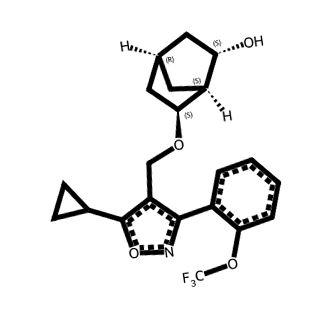 O[C@H]1C[C@H]2C[C@@H]1[C@@H](OCc1c(-c3ccccc3OC(F)(F)F)noc1C1CC1)C2